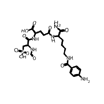 NC(=O)C(CCCCNC(=O)c1ccc(N)cc1)NC(=O)CCC(NC(=O)C(CS(=O)(=O)O)NC=O)C(=O)O